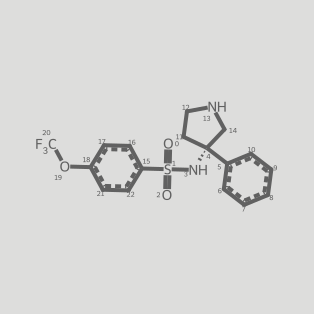 O=S(=O)(N[C@]1(c2ccccc2)CCNC1)c1ccc(OC(F)(F)F)cc1